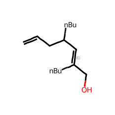 C=CCC(/C=C(/CO)CCCC)CCCC